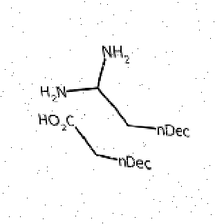 CCCCCCCCCCCC(=O)O.CCCCCCCCCCCC(N)N